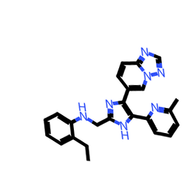 CCc1ccccc1NCc1nc(-c2ccc3ncnn3c2)c(-c2cccc(C)n2)[nH]1